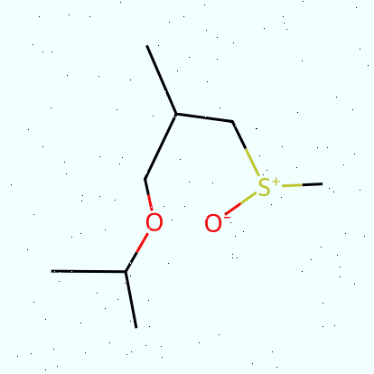 CC(COC(C)C)C[S+](C)[O-]